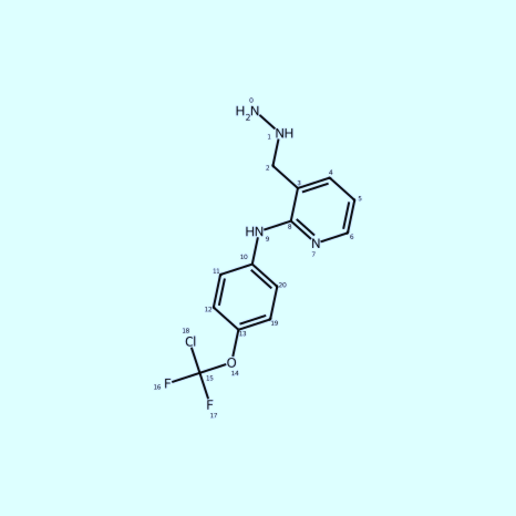 NNCc1cccnc1Nc1ccc(OC(F)(F)Cl)cc1